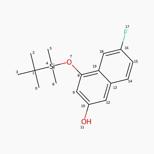 CC(C)(C)[Si](C)(C)Oc1cc(O)cc2ccc(F)cc12